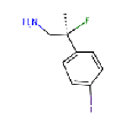 C[C@@](F)(CN)c1ccc(I)cc1